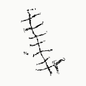 CCCCCC(F)(F)C(F)(F)C(F)(F)C(F)(F)C(F)(F)C(F)(F)C(F)(F)S(=O)(=O)[O-].[Na+]